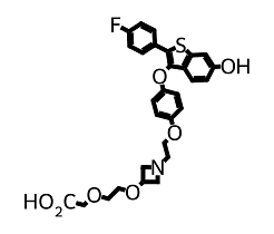 O=C(O)COCCOC1CN(CCOc2ccc(Oc3c(-c4ccc(F)cc4)sc4cc(O)ccc34)cc2)C1